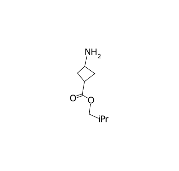 CC(C)COC(=O)C1CC(N)C1